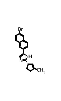 CC1=C[C@@H](c2ncc(-c3ccc4cc(Br)ccc4c3)[nH]2)CC1